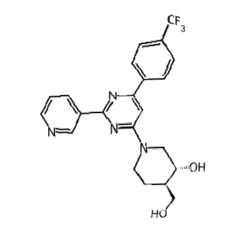 OC[C@H]1CCN(c2cc(-c3ccc(C(F)(F)F)cc3)nc(-c3cccnc3)n2)C[C@@H]1O